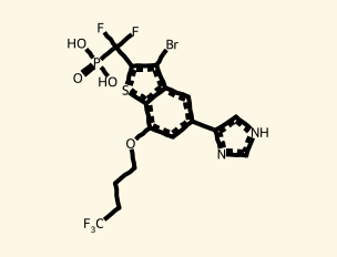 O=P(O)(O)C(F)(F)c1sc2c(OCCCC(F)(F)F)cc(-c3c[nH]cn3)cc2c1Br